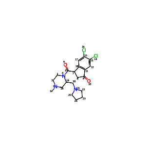 CN1CCN(C(=O)C2CC(=O)c3cc(Cl)c(Cl)cc32)C(CN2CCCC2)C1